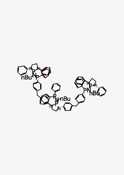 CCCCN(P(c1ccccc1)c1ccc(Cc2ccc([C@@H]3CC[C@@H](c4ccc(Cc5ccc(P(c6ccccc6)N(CCCC)P6[C@H](c7ccccc7)CC[C@H]6c6ccccc6)cc5)cc4)P3N(CCCC)P(c3ccccc3)c3ccccc3)cc2)cc1)P1[C@@H](c2ccccc2)CC[C@@H]1c1ccccc1